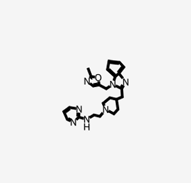 Cc1ncc(Cn2c(CC3CCN(CCNc4ncccn4)CC3)nc3ccccc32)o1